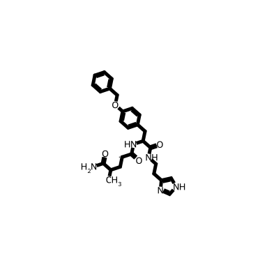 CC(C[CH]C(=O)NC(Cc1ccc(OCc2ccccc2)cc1)C(=O)NCCc1c[nH]cn1)C(N)=O